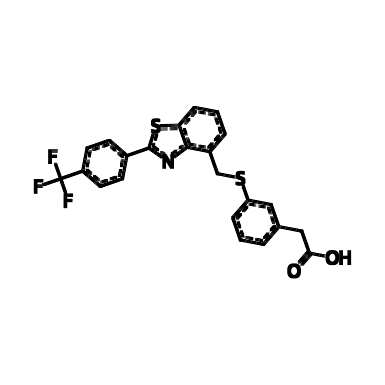 O=C(O)Cc1cccc(SCc2cccc3sc(-c4ccc(C(F)(F)F)cc4)nc23)c1